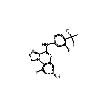 Fc1cc(NC2=Nc3cc(Cl)cc(Cl)c3N3CCN=C23)ccc1C(F)(F)F